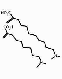 C=C(CCCCCCCCCN(C)C)C(=O)O.C=C(CCCCCCCN(C)C)C(=O)O